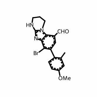 COc1ccc(-c2cc(C=O)c3c(nc4n3CCCN4)c2Br)c(C)c1